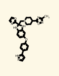 Cc1noc(C2CCN(CC3(c4ncco4)Nc4ccc(Oc5ccc(-c6ccn[nH]6)cc5)cc4N3)CC2)n1